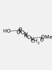 COC(=O)CCCCCN(C)c1ccc(N=Nc2ccc(S(=O)(=O)CCCCCCO)cc2)cc1